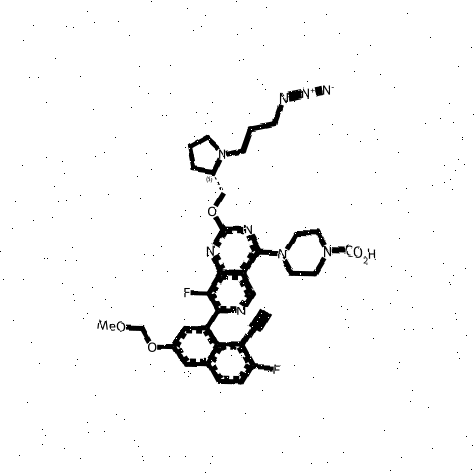 C#Cc1c(F)ccc2cc(OCOC)cc(-c3ncc4c(N5CCN(C(=O)O)CC5)nc(OC[C@@H]5CCCN5CCCN=[N+]=[N-])nc4c3F)c12